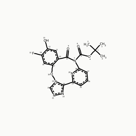 CC(C)(C)OC(=O)N1C(=O)c2cc(O)c(F)cc2On2cnnc2-c2cccc1n2